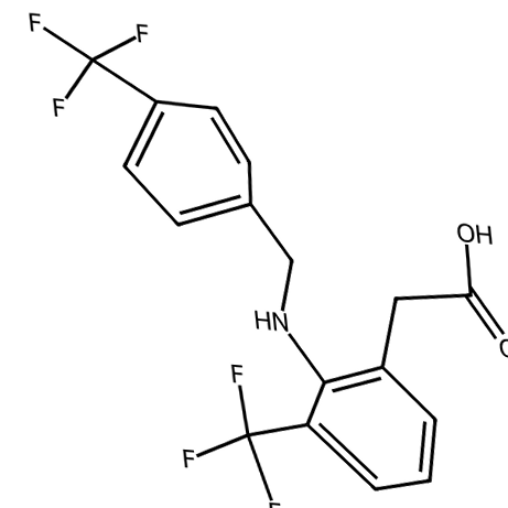 O=C(O)Cc1cccc(C(F)(F)F)c1NCc1ccc(C(F)(F)F)cc1